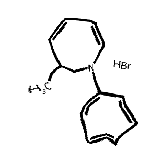 Br.CC1C=CC=CN1c1ccccc1